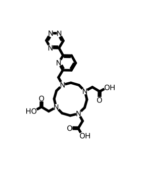 O=C(O)CN1CCN(CC(=O)O)CCN(Cc2cccc(-c3cnncn3)n2)CCN(CC(=O)O)CC1